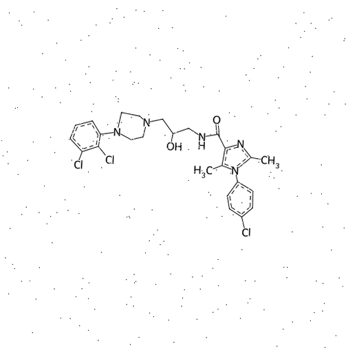 Cc1nc(C(=O)NCC(O)CN2CCN(c3cccc(Cl)c3Cl)CC2)c(C)n1-c1ccc(Cl)cc1